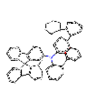 CC1CC=CC2=C1C1(c3ccccc32)c2ccccc2-c2ccc(N(c3ccc4c(c3)C3(CCCCC3)c3ccccc3-4)c3ccccc3-c3ccccc3)cc21